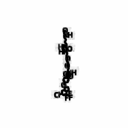 O=CNCCCCNC(=O)NCCOCCOCCNS(=O)(=O)c1ccc(O[C@@H]2CCc3c2cc(Cl)cc3C(F)(F)F)cc1